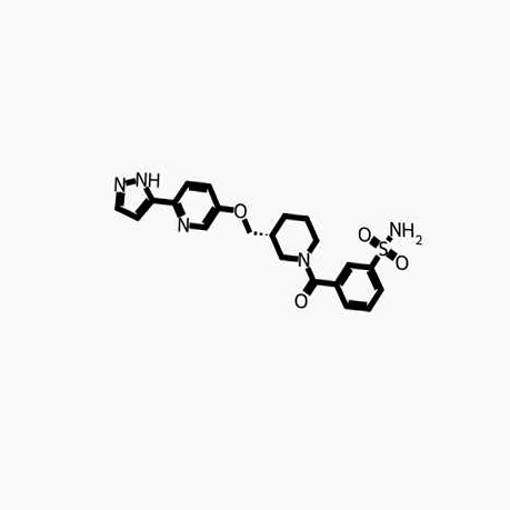 NS(=O)(=O)c1cccc(C(=O)N2CCC[C@@H](COc3ccc(-c4ccn[nH]4)nc3)C2)c1